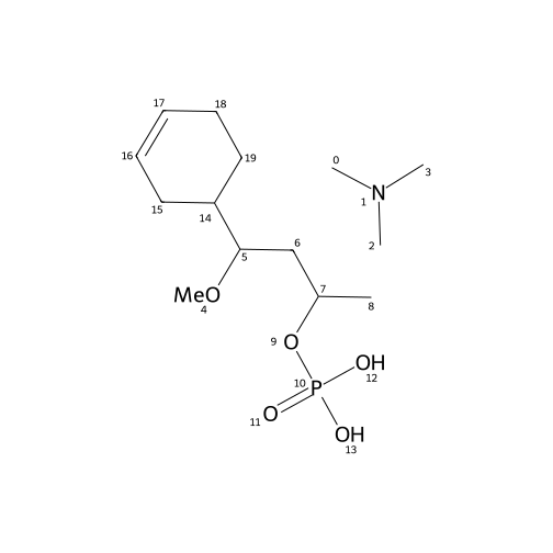 CN(C)C.COC(CC(C)OP(=O)(O)O)C1CC=CCC1